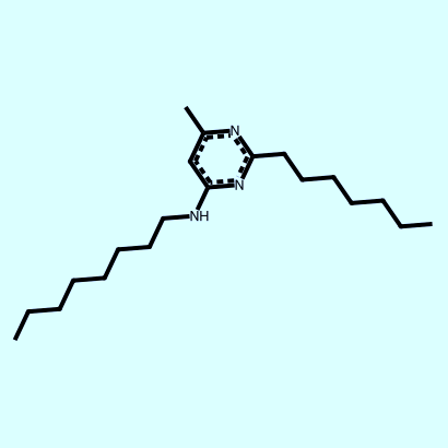 CCCCCCCCNc1cc(C)nc(CCCCCCC)n1